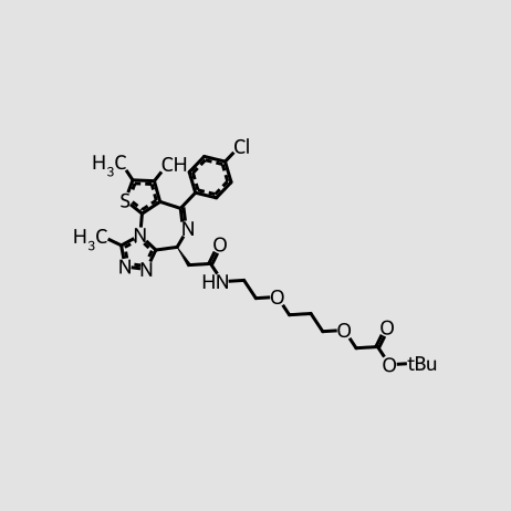 Cc1sc2c(c1C)C(c1ccc(Cl)cc1)=N[C@@H](CC(=O)NCCOCCCOCC(=O)OC(C)(C)C)c1nnc(C)n1-2